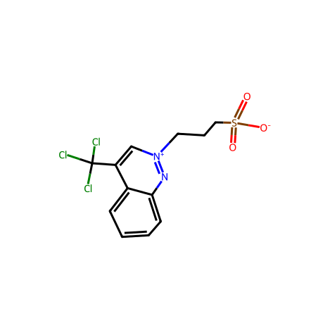 O=S(=O)([O-])CCC[n+]1cc(C(Cl)(Cl)Cl)c2ccccc2n1